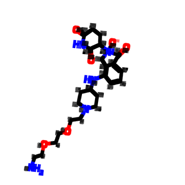 NCCOCCOCCN1CCC(Nc2cccc3c2C[N+]([O-])(C2CCC(=O)NC2=O)C3=O)CC1